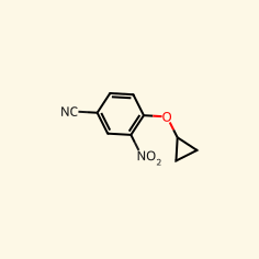 N#Cc1ccc(OC2CC2)c([N+](=O)[O-])c1